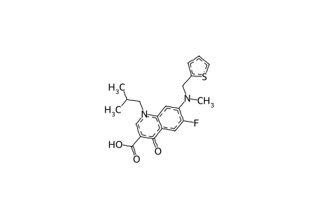 CC(C)Cn1cc(C(=O)O)c(=O)c2cc(F)c(N(C)Cc3cccs3)cc21